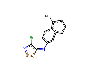 N#Cc1cccc2cc(/N=c3/ssnc3Br)ccc12